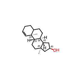 C[C@]12CC[C@H]3[C@@H](CCC4CCC=C[C@@]43C)[C@@H]1C[C@@H](O)C2